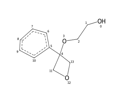 OCCOC1(c2cc[c]cc2)COC1